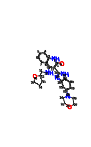 O=c1[nH]c2ccccc2c(NCC2CCCO2)c1-c1nc2cc(N3CCOCC3)ccc2[nH]1